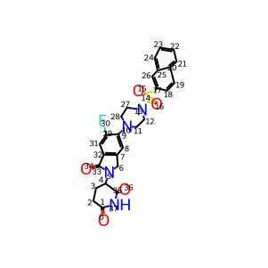 O=C1CCC(N2Cc3cc(N4CCN(S(=O)(=O)c5ccc6ccccc6c5)CC4)c(F)cc3C2=O)C(=O)N1